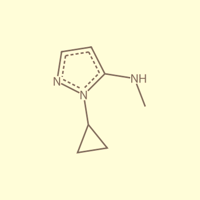 CNc1ccnn1C1CC1